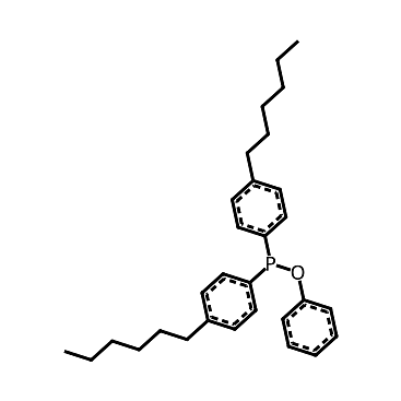 CCCCCCc1ccc(P(Oc2ccccc2)c2ccc(CCCCCC)cc2)cc1